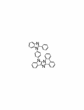 c1ccc(-c2nc3ccccc3n2-c2ccc(-n3c4ccccc4c4nc5c6ccccc6c6ccccc6n5c43)cc2)cc1